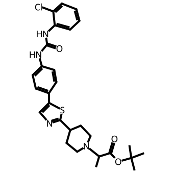 CC(C(=O)OC(C)(C)C)N1CCC(c2ncc(-c3ccc(NC(=O)Nc4ccccc4Cl)cc3)s2)CC1